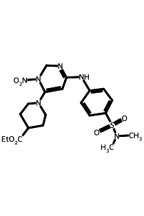 CCOC(=O)C1CCN(C2=CC(Nc3ccc(S(=O)(=O)N(C)C)cc3)=NCN2[N+](=O)[O-])CC1